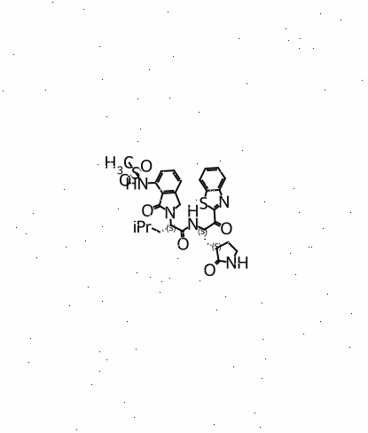 CC(C)C[C@@H](C(=O)N[C@@H](C[C@@H]1CCNC1=O)C(=O)c1nc2ccccc2s1)N1Cc2cccc(NS(C)(=O)=O)c2C1=O